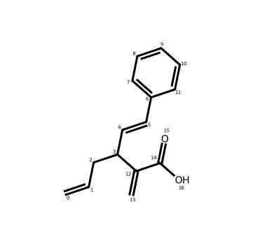 C=CCC(C=Cc1ccccc1)C(=C)C(=O)O